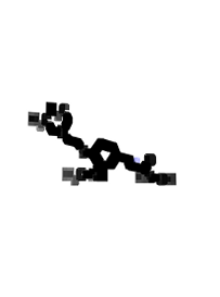 CCN(CC)CCSc1ccc(/C=C/C(=O)NO)cc1NC